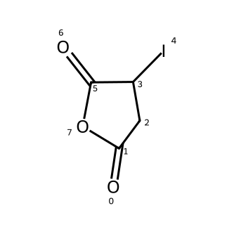 O=C1CC(I)C(=O)O1